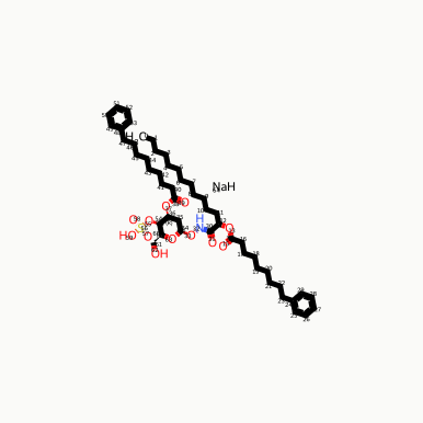 CCCCCCCCCCCCC(OC(=O)CCCCCCCCc1ccccc1)C(=O)NO[C@@H]1C[C@@H](OC(=O)CCCCCCCCc2ccccc2)[C@H](OS(=O)(=O)O)[C@@H](CO)O1.[NaH]